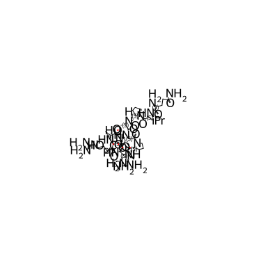 CC(C)[C@H](NC(=O)[C@@H](N)CCC(N)=O)C(=O)N1CCC[C@H]1C(=O)N[C@@H](CO)C(=O)N[C@@H](CCCN=C(N)N)C(=O)N1CCC[C@H]1C(=O)N[C@@H](CC(N)=O)C(=O)N[C@@H](CCCN=C(N)N)C(=O)N[C@@H](C)C(=O)N1CCC[C@H]1C(=O)O